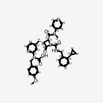 COc1ccc(CN(C(=O)O)c2cc(C[C@H]3C(=O)N(C(=O)NCc4ccccc4C4CC4)[C@@H]3C(=O)N(C)c3ccncc3)ccn2)cc1